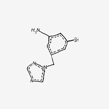 Nc1cc(S)cc(Cn2cncn2)c1